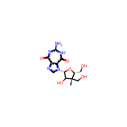 C[C@@]1(CO)C(O)[C@H](n2cnc3c(=O)nc(N)[nH]c(=O)c32)O[C@@H]1CO